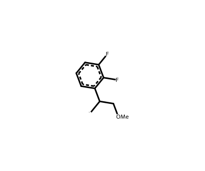 [CH2]C(COC)c1cccc(F)c1F